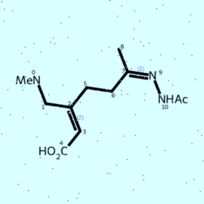 CNC/C(=C\C(=O)O)CC/C(C)=N\NC(C)=O